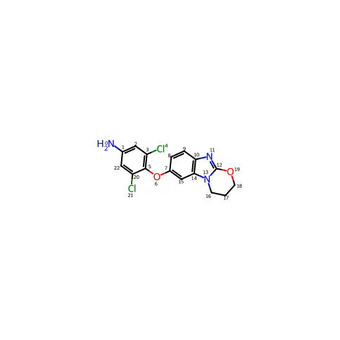 Nc1cc(Cl)c(Oc2ccc3nc4n(c3c2)CCCO4)c(Cl)c1